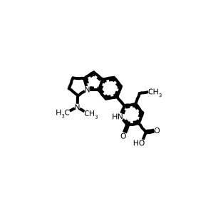 CCc1cc(C(=O)O)c(=O)[nH]c1-c1ccc2cc3n(c2c1)C(N(C)C)CC3